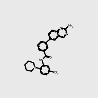 Nc1ncc2cc(-c3cccc(C(=O)Nc4cc(C(F)(F)F)ccc4N4CCCCC4)c3)ccc2n1